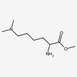 COC(=O)C(N)CCCCN(C)C